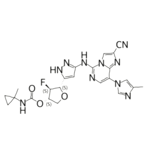 Cc1cn(-c2cnc(Nc3cc([C@@H]4OC[C@H](OC(=O)NC5(C)CC5)[C@H]4F)[nH]n3)n3cc(C#N)nc23)cn1